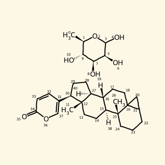 C[C@H]1OC(O)[C@@H](O)[C@@H](O)[C@@H]1O.C[C@]12CC[C@H]3[C@@H](CCC45CC4CCC[C@]35C)[C@@H]1CC[C@@H]2c1ccc(=O)oc1